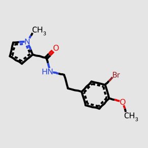 COc1ccc(CCNC(=O)c2cccn2C)cc1Br